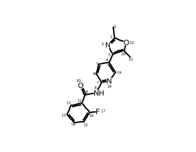 Cc1nc(-c2ccc(NC(=O)c3ccccc3F)nc2)c(C)o1